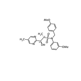 COc1ccc(CN(c2cccc(OC)c2)S(=O)(=O)[C@@H](C)[C@@H](O)c2ncc(C)cn2)cc1